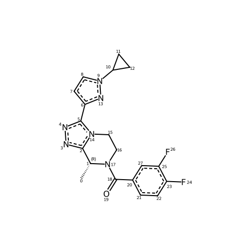 C[C@@H]1c2nnc(-c3ccn(C4CC4)n3)n2CCN1C(=O)c1ccc(F)c(F)c1